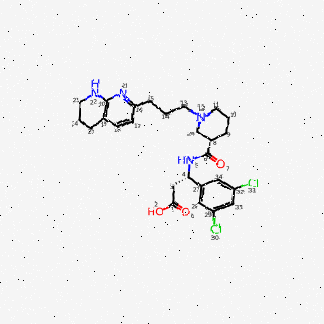 O=C(O)C[C@H](NC(=O)[C@@H]1CCCN(CCCc2ccc3c(n2)NCCC3)C1)c1cc(Cl)cc(Cl)c1